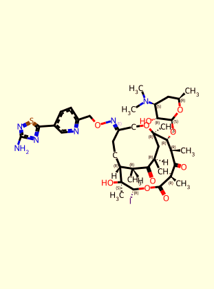 C[C@H]1C(=O)O[C@H](I)[C@@](C)(O)[C@@H]2CC/C(=N\OCc3ccc(-c4nc(N)ns4)cn3)CO[C@](C)(C[C@@H](C)C(=O)[C@@H]2C)[C@H](O[C@@H]2O[C@H](C)C[C@H](N(C)C)[C@H]2O)[C@@H](C)C1=O